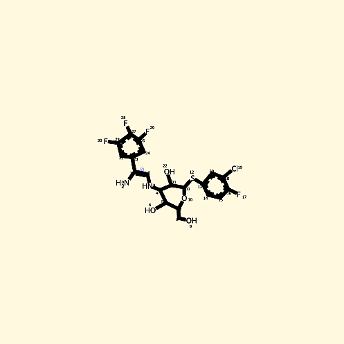 N/C(=C\NC1C(O)C(CO)OC(Sc2ccc(F)c(Cl)c2)C1O)c1cc(F)c(F)c(F)c1